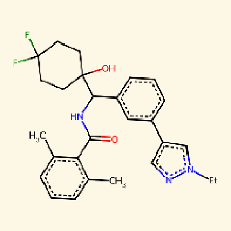 CCn1cc(-c2cccc(C(NC(=O)c3c(C)cccc3C)C3(O)CCC(F)(F)CC3)c2)cn1